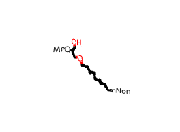 CCCCCCCCCCCCCCCCCCOC[C@H](CO)OC